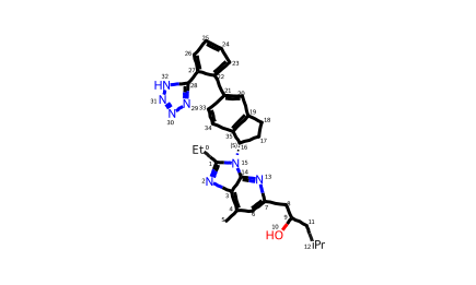 CCc1nc2c(C)cc(CC(O)CC(C)C)nc2n1[C@H]1CCc2cc(-c3ccccc3-c3nnn[nH]3)ccc21